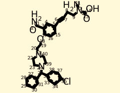 NC(=O)c1cc(C#CCCN(N)C(=O)O)ccc1OCCN1CCN(C(c2ccccc2)c2ccc(Cl)cc2)CC1